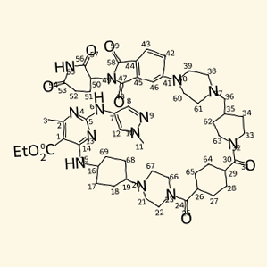 CCOC(=O)c1c(C)nc(Nc2cnn(C)c2)nc1NC1CCC(N2CCN(C(=O)C3CCC(C(=O)N4CCC(CN5CCN(c6ccc7c(c6)C(=O)N(C6CCC(=O)NC6=O)C7=O)CC5)CC4)CC3)CC2)CC1